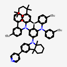 CC(C)(C)c1cccc(N2c3cc(C(C)(C)C)ccc3B3c4cc5c(cc4N(c4ccc(C(C)(C)C)cc4-c4ccccc4)c4cc(N6c7ccc(-c8ccncc8)cc7C7(C)CCCCC67C)cc2c43)C(C)(C)CCC5(C)C)c1